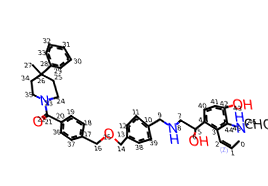 C/C=C\c1c(C(O)CNCc2ccc(COCc3ccc(C(=O)N4CCC(C)(c5ccccc5)CC4)cc3)cc2)ccc(O)c1NC=O